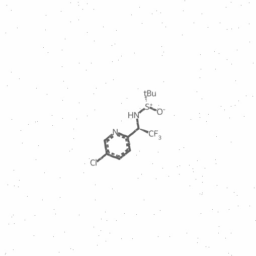 CC(C)(C)[S@+]([O-])N[C@H](c1ccc(Cl)cn1)C(F)(F)F